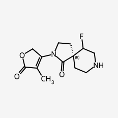 CC1=C(N2CC[C@]3(CCNCC3F)C2=O)COC1=O